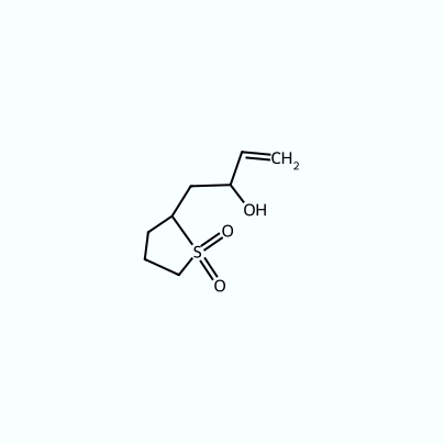 C=CC(O)CC1CCCS1(=O)=O